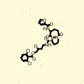 O=C(CCNC(=O)[C@@H]1CCCN2C(=O)CCC(NC(=O)c3ccco3)C(=O)N12)COC(=O)c1c(Cl)cccc1Cl